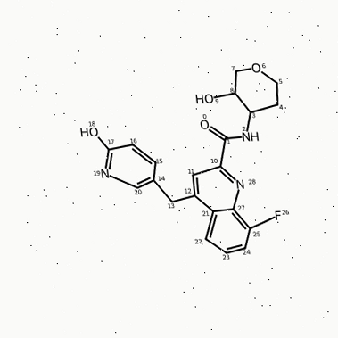 O=C(NC1CCOCC1O)c1cc(Cc2ccc(O)nc2)c2cccc(F)c2n1